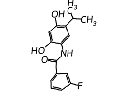 CC(C)c1cc(NC(=O)c2cccc(F)c2)c(O)cc1O